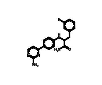 NC(=O)C(Cc1cccc(F)c1)Nc1ccc(-c2ccnc(N)n2)cc1